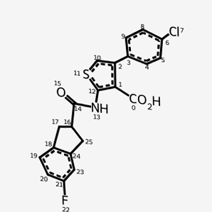 O=C(O)c1c(-c2ccc(Cl)cc2)csc1NC(=O)C1Cc2ccc(F)cc2C1